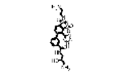 NCCNS1(=O)=NS(=O)(=O)c2c1ccc(-c1cccc(C(=O)NC[C@H](O)CN)c1)c2-c1nn[nH]n1